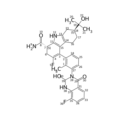 Cc1c(C2=C(F)C[C@H](C(N)=O)c3[nH]c4c(c32)CC[C@H](C(C)(C)O)C4)cccc1N1C(=O)c2cccc(F)c2NC1O